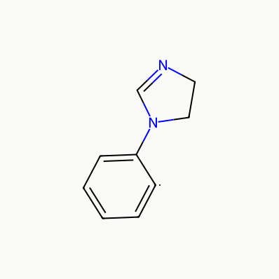 [c]1ccccc1N1C=NCC1